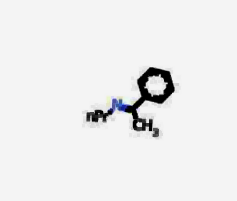 CCC/N=C(\C)c1ccccc1